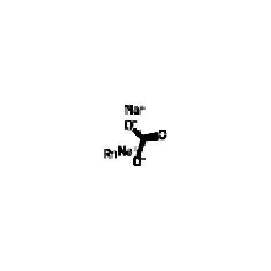 O=C([O-])[O-].[Na+].[Na+].[Rn]